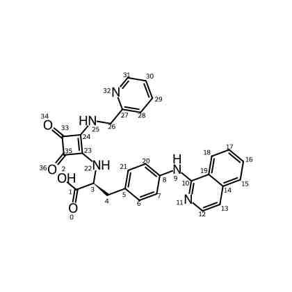 O=C(O)[C@H](Cc1ccc(Nc2nccc3ccccc23)cc1)Nc1c(NCc2ccccn2)c(=O)c1=O